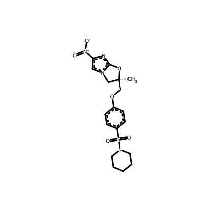 C[C@]1(COc2ccc(S(=O)(=O)N3CCCCC3)cc2)Cn2cc([N+](=O)[O-])nc2O1